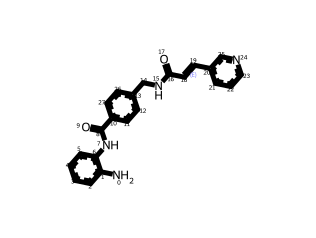 Nc1ccccc1NC(=O)c1ccc(CNC(=O)/C=C/c2cccnc2)cc1